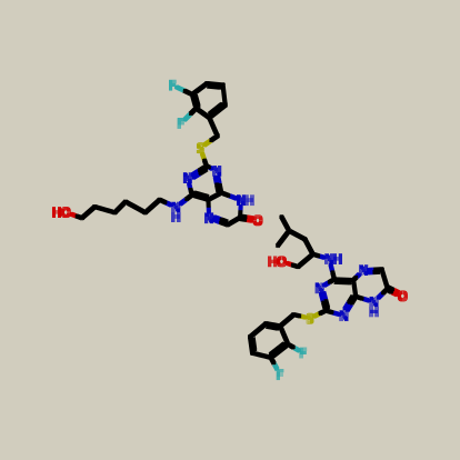 CC(C)CC(CO)Nc1nc(SCc2cccc(F)c2F)nc2[nH]c(=O)cnc12.O=c1cnc2c(NCCCCCCO)nc(SCc3cccc(F)c3F)nc2[nH]1